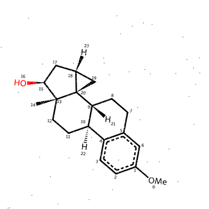 COc1ccc2c(c1)CC[C@@H]1[C@@H]2CC[C@]2(C)[C@@H](O)C[C@@H]3C[C@@]312